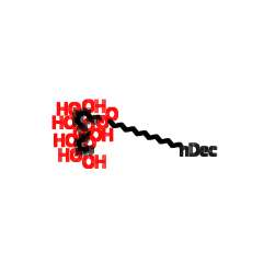 CCCCCCCCCCCCCCCCCCCCCCC(=O)OC[C@H]1O[C@H](O[C@]2(CO)O[C@H](CO)[C@@H](O)[C@@H]2O)[C@H](O)[C@@H](O)[C@@H]1O